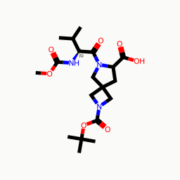 COC(=O)N[C@H](C(=O)N1CC2(CC1C(=O)O)CN(C(=O)OC(C)(C)C)C2)C(C)C